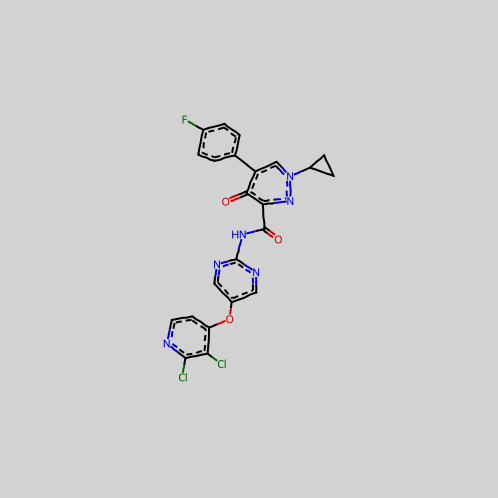 O=C(Nc1ncc(Oc2ccnc(Cl)c2Cl)cn1)c1nn(C2CC2)cc(-c2ccc(F)cc2)c1=O